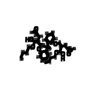 CCCCOC(O)C(COc1ccccc1C(C)(C)c1ccccc1OCC(CC1CO1)C(O)OCCCC)CC1CO1